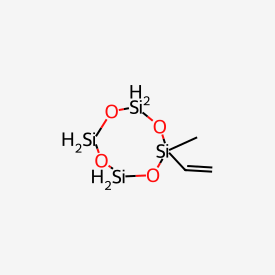 C=C[Si]1(C)O[SiH2]O[SiH2]O[SiH2]O1